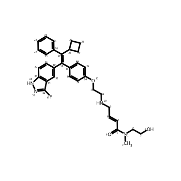 CN(CCO)C(=O)C=CCNCCOc1ccc(C(=C(c2ccccc2)C2CCC2)c2ccc3[nH]nc(F)c3c2)cc1